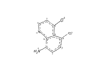 Nc1ccc(Cl)c2c(Cl)ccnc12